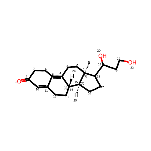 C[C@@]12CCC3=C4CCC(=O)C=C4CC[C@H]3[C@@H]1CCC2C(O)CCO